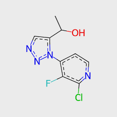 CC(O)c1cnnn1-c1ccnc(Cl)c1F